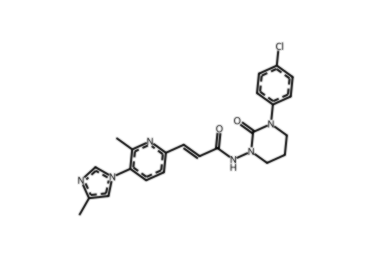 Cc1cn(-c2ccc(C=CC(=O)NN3CCCN(c4ccc(Cl)cc4)C3=O)nc2C)cn1